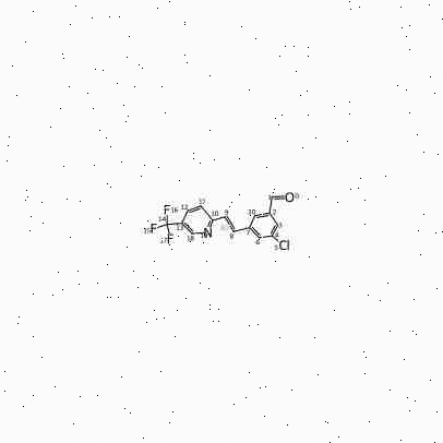 O=Cc1cc(Cl)cc(/C=C/c2ccc(C(F)(F)F)cn2)c1